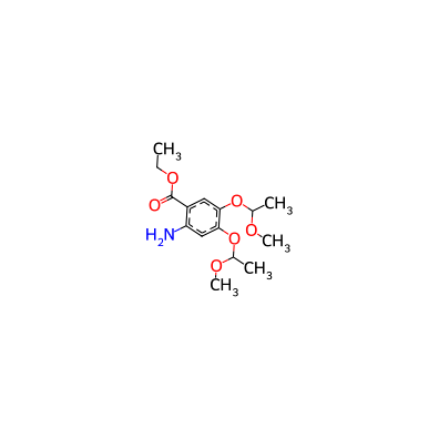 CCOC(=O)c1cc(OC(C)OC)c(OC(C)OC)cc1N